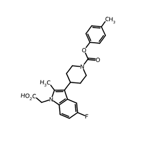 Cc1ccc(OC(=O)N2CCC(c3c(C)n(CC(=O)O)c4ccc(F)cc34)CC2)cc1